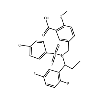 CCC(c1cc(F)ccc1F)N(Cc1ccc(OC)c(C(=O)O)c1)S(=O)(=O)c1ccc(Cl)cc1